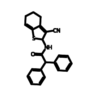 N#CC1=C2CCCC=C2SC1NC(=O)C(c1ccccc1)c1ccccc1